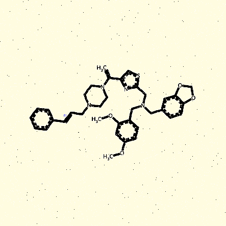 C=C(c1csc(CN(Cc2ccc3c(c2)OCO3)Cc2ccc(OC)cc2OC)n1)N1CCN(C/C=C/c2ccccc2)CC1